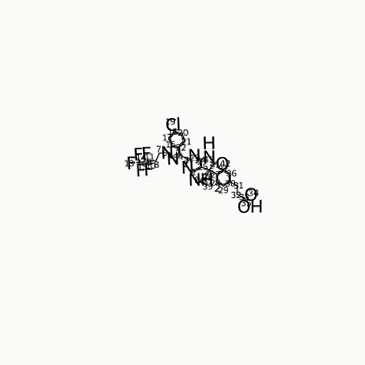 Nc1nc(-c2nn(CCC(F)(F)C(F)(F)F)c3cc(Cl)ccc23)nc2c1C(c1ccc(CCC(=O)O)cc1)(C1CC1)C(=O)N2